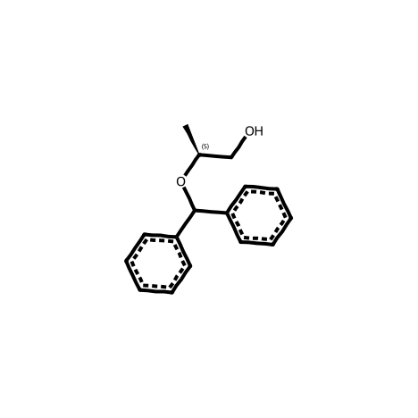 C[C@@H](CO)OC(c1ccccc1)c1ccccc1